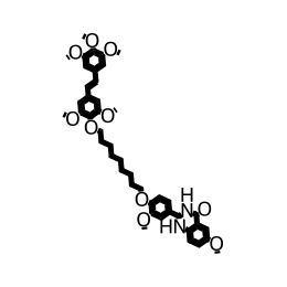 COc1ccc2c(c1)C(=O)NC(c1ccc(OCCCCCCCCCOc3c(OC)cc(C=Cc4cc(OC)c(OC)c(OC)c4)cc3OC)c(OC)c1)N2